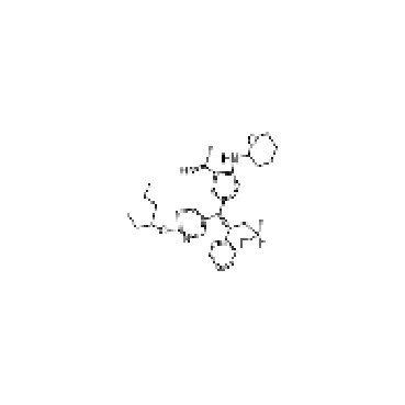 CCCC(CC)Oc1ccc(/C(=C(/CC(F)(F)F)c2ccccc2)c2ccc(NC3CCCCO3)c(C(=N)F)c2)cn1